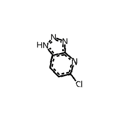 Clc1ccc2[nH]nnc2n1